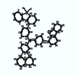 CC1(C)c2ccccc2-c2c(-c3cccc(N(c4ccc(-c5cccc6c5oc5ccccc56)cc4)c4ccc5c(c4)-c4cccc6cccc-5c46)c3)cccc21